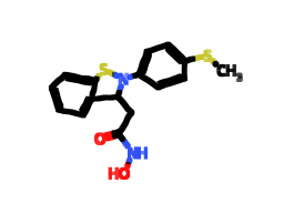 CSc1ccc(N2Sc3ccccc3C2CC(=O)NO)cc1